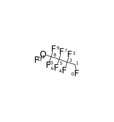 FCC(F)(F)C(F)(F)C(F)(F)OF